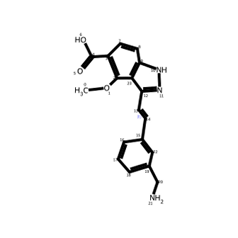 COc1c(C(=O)O)ccc2[nH]nc(/C=C/c3cccc(CN)c3)c12